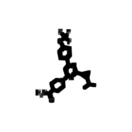 CC(C)C1CC1c1nc(-c2ccc(OC(F)(F)F)cc2)cc(N2CCC(C(N)=O)CC2)n1